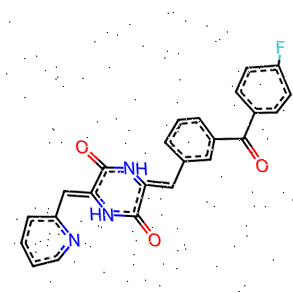 O=C(c1ccc(F)cc1)c1cccc(C=c2[nH]c(=O)c(=Cc3ccccn3)[nH]c2=O)c1